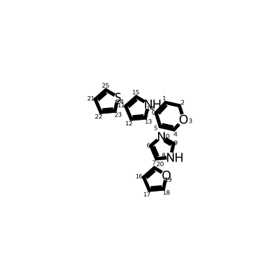 C1=CCOC=C1.c1c[nH]cn1.c1cc[nH]c1.c1ccoc1.c1ccsc1